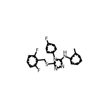 Cc1ccccc1Nc1nnc(SCc2c(F)cccc2F)n1-c1ccc(F)cc1